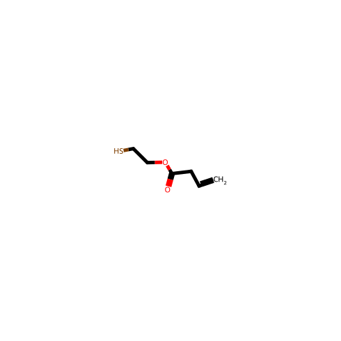 C=CCC(=O)OCCS